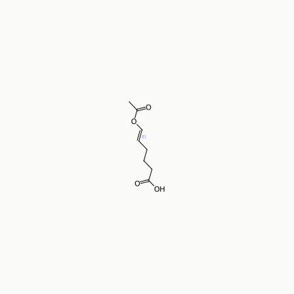 CC(=O)O/C=C/CCCC(=O)O